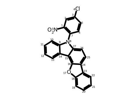 O=[N+]([O-])c1cc(Cl)ccc1-n1c2ccccc2c2c3oc4ccccc4c3ccc21